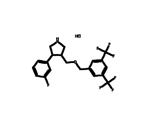 Cl.Fc1cccc(C2CNCC2COCc2cc(C(F)(F)F)cc(C(F)(F)F)c2)c1